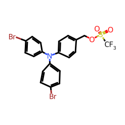 O=S(=O)(OCc1ccc(N(c2ccc(Br)cc2)c2ccc(Br)cc2)cc1)C(F)(F)F